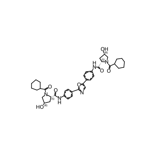 O=C(Nc1ccc(-c2cnc(-c3ccc(NC(=O)[C@@H]4C[C@@H](O)CN4C(=O)C4CCCCC4)cc3)o2)cc1)[C@@H]1C[C@@H](O)CN1C(=O)C1CCCCC1